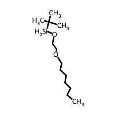 CCCCCCCOCCO[SiH2]C(C)(C)C